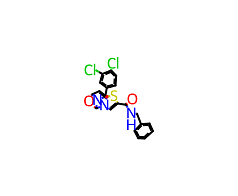 O=C(NCc1ccccc1)C1=CN2C(=CC3OC2N3Cc2ccc(Cl)c(Cl)c2)S1